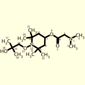 CN(C)CC(=O)OC1CC(C)(C)N(OCC(C)(C)O)C(C)(C)C1